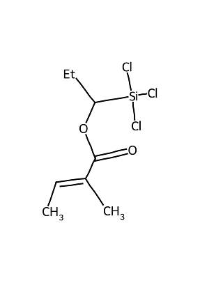 CC=C(C)C(=O)OC(CC)[Si](Cl)(Cl)Cl